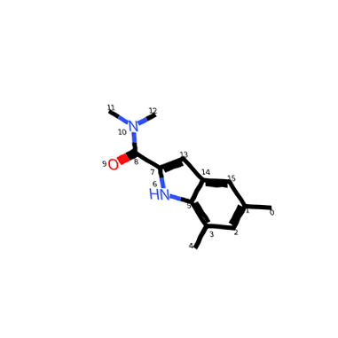 Cc1cc(C)c2[nH]c(C(=O)N(C)C)cc2c1